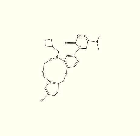 CN(C)C(=O)C[C@H](C(=O)O)c1ccc2c(c1)N(CC1CCC1)CCCCc1cc(Cl)ccc1CO2